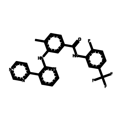 Cc1ccc(C(=O)Nc2cc(C(F)(F)F)ccc2F)cc1Nc1ncccc1-c1ccncn1